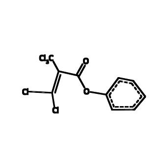 O=C(Oc1ccccc1)C(=C(Cl)Cl)C(Cl)(Cl)Cl